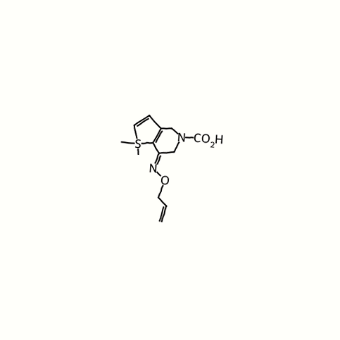 C=CCON=C1CN(C(=O)O)CC2=C1S(C)(C)C=C2